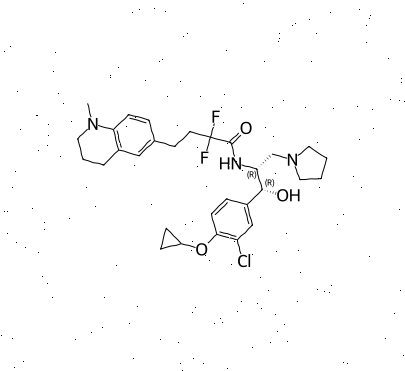 CN1CCCc2cc(CCC(F)(F)C(=O)N[C@H](CN3CCCC3)[C@H](O)c3ccc(OC4CC4)c(Cl)c3)ccc21